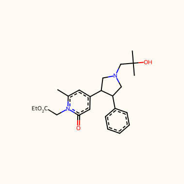 CCOC(=O)Cn1c(C)cc(C2CN(CC(C)(C)O)CC2c2ccccc2)cc1=O